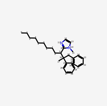 CCCCCCCCCC(c1nccn1C)C(C)(Cc1ccccc1)c1ccccc1